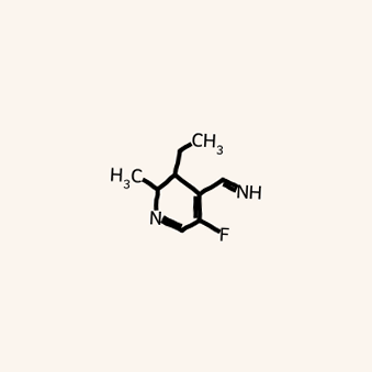 CCC1C(C=N)=C(F)C=NC1C